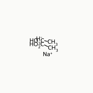 CC(=O)O.CC(=O)O.[H-].[Na+]